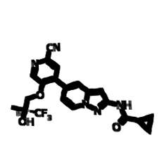 C[C@](O)(COc1cnc(C#N)cc1-c1ccn2nc(NC(=O)C3CC3)cc2c1)C(F)(F)F